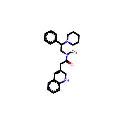 CN(CC(c1ccccc1)N1CCCCC1)C(=O)CC1=Cc2ccccc2NC1